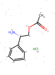 CC(=O)OC[C@@H](N)c1ccccc1.Cl